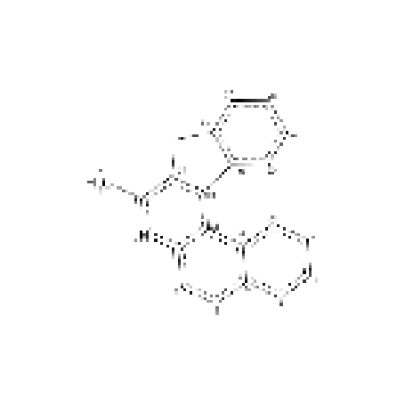 Cc1nc2ccc3ccccc3c2c2c1Cc1ccccc1-2